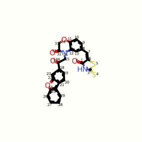 O=C1NC(=S)SC1=Cc1ccc2c(c1)N(CC(=O)c1ccc3c(c1)oc1ccccc13)C(=O)CO2